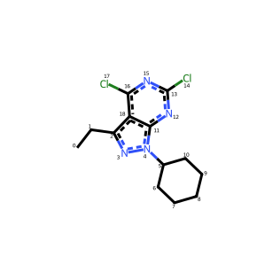 CCc1nn(C2CCCCC2)c2nc(Cl)nc(Cl)c12